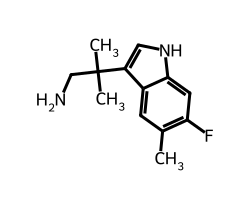 Cc1cc2c(C(C)(C)CN)c[nH]c2cc1F